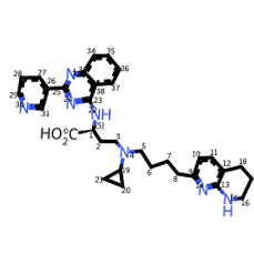 O=C(O)[C@H](CCN(CCCCc1ccc2c(n1)NCCC2)C1CC1)Nc1nc(-c2cccnc2)nc2ccccc12